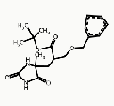 CC(C)(C)OC(=O)C(COCc1ccccc1)CC1(C)NC(=O)NC1=O